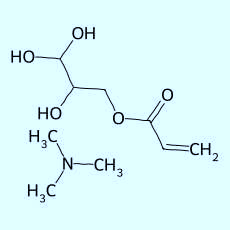 C=CC(=O)OCC(O)C(O)O.CN(C)C